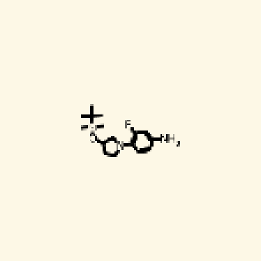 CC(C)(C)[Si](C)(C)OC1CCN(c2ccc(N)cc2F)C1